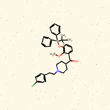 COc1c(O[Si](c2ccccc2)(c2ccccc2)C(C)(C)C)cccc1C(O)C1CCN(CCc2ccc(F)cc2)CC1